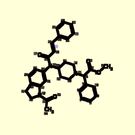 COC(=O)C(c1ccccc1)N1CCC(N(C(=O)/C=C/c2ccccc2)c2ccc3c(c2)N(C(C)=O)CC3)CC1